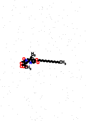 CCCCCCCCCCCCCCCC(=O)Oc1ccc2nc3c(c(CC)c2c1)Cn1c-3cc2c(c1=O)COC(=O)[C@]2(O)CC